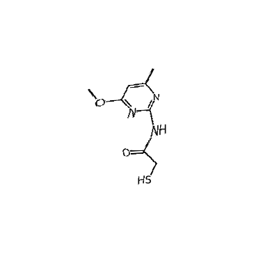 COc1cc(C)nc(NC(=O)CS)n1